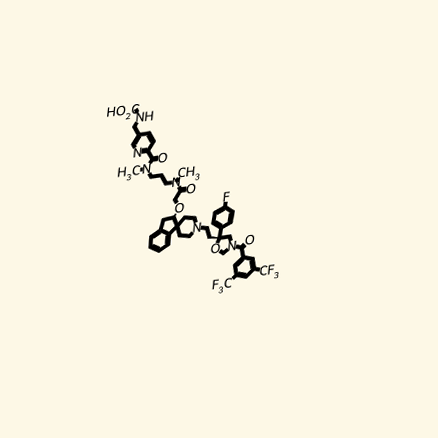 CN(CCCN(C)C(=O)c1ccc(CNC(=O)O)cn1)C(=O)CO[C@H]1Cc2ccccc2C12CCN(CC[C@@]1(c3ccc(F)cc3)CN(C(=O)c3cc(C(F)(F)F)cc(C(F)(F)F)c3)CO1)CC2